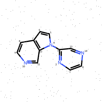 c1cnc(-n2ccc3ccncc32)cn1